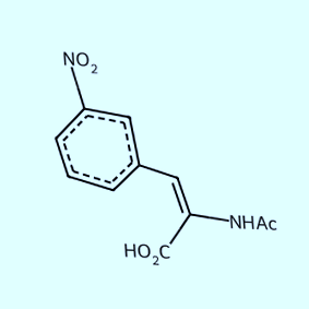 CC(=O)NC(=Cc1cccc([N+](=O)[O-])c1)C(=O)O